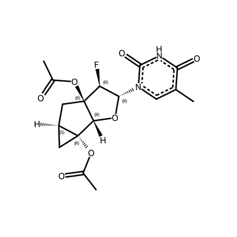 CC(=O)O[C@]12C[C@H]1C[C@@]1(OC(C)=O)[C@@H]2O[C@@H](n2cc(C)c(=O)[nH]c2=O)[C@@H]1F